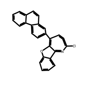 ClC1=C=CC(c2ccc3c(ccc4ccccc43)c2)=c2oc3ccccc3c2=N1